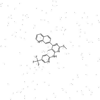 CSc1nc(Nc2ccc(C(F)(F)F)cn2)c(C)c(-c2ccc3cccnc3c2)n1